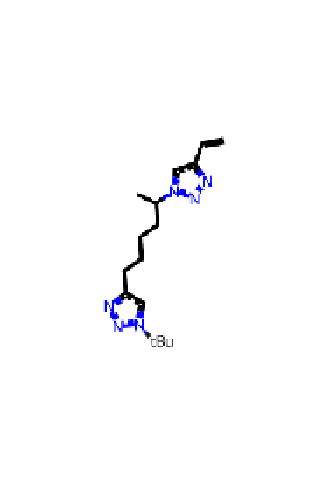 C=Cc1cn(C(C)CCCCc2cn(C(C)(C)C)nn2)nn1